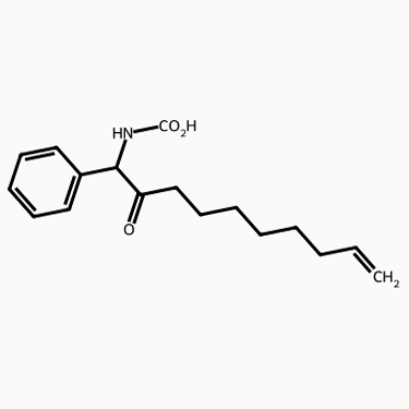 C=CCCCCCCC(=O)C(NC(=O)O)c1ccccc1